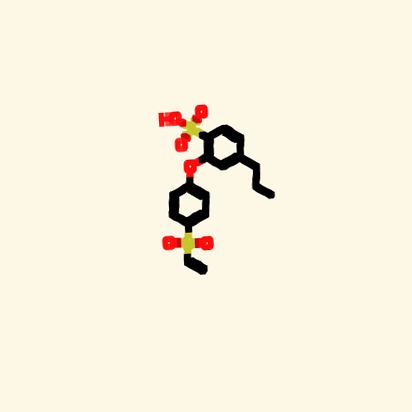 C=CS(=O)(=O)c1ccc(Oc2cc(CCC)ccc2S(=O)(=O)O)cc1